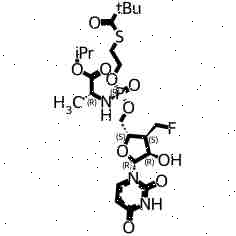 CC(C)OC(=O)[C@@H](C)N[P@](=O)(OCCSC(=O)C(C)(C)C)OC[C@H]1O[C@@H](n2ccc(=O)[nH]c2=O)[C@H](O)[C@@H]1CF